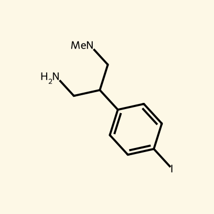 CNCC(CN)c1ccc(I)cc1